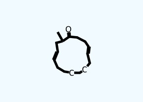 CC1C/C=C/CCCCCC/C=C/CCC1=O